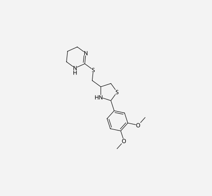 COc1ccc(C2NC(CSC3=NCCCN3)CS2)cc1OC